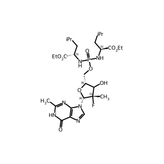 CCOC(=O)[C@H](CC(C)C)NP(=O)(N[C@@H](CC(C)C)C(=O)OCC)OC[C@H]1O[C@@H](n2cnc3c(=O)[nH]c(C)nc32)[C@@](C)(F)C1O